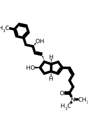 Cc1cccc(C[C@H](O)/C=C/[C@@H]2[C@H]3CC(/C=C\CCC(=O)N(C)C)=C[C@H]3C[C@H]2O)c1